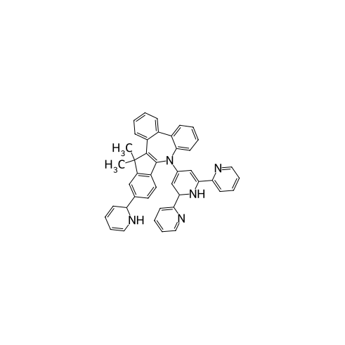 CC1(C)C2=C(c3ccc(C4C=CC=CN4)cc31)N(C1=CC(c3ccccn3)NC(c3ccccn3)=C1)c1ccccc1-c1ccccc12